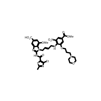 CCc1nc(C)sc1C(=O)Nc1nc2cc(C(=O)O)cc(OC)c2n1CC=CCNc1c(OCCCN2CCOCC2)cc(C(=O)OC)cc1[N+](=O)[O-]